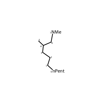 CCCCCCCCC(C)CNC